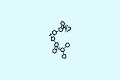 CC1(C)c2ccc(-c3ccc4c(c3)c3ccccc3n4-c3cc(-c4ccccc4)cc(-c4ccccc4)c3)cc2-c2cc(-c3ccc4c(c3)c3ccccc3n4-c3ncccn3)ccc21